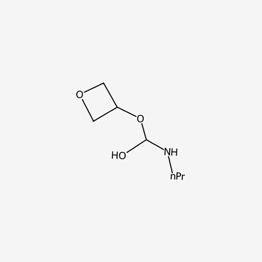 CCCNC(O)OC1COC1